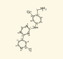 NCc1ccc(Nc2ncnc(-c3ccnc(Cl)c3)n2)cc1Cl